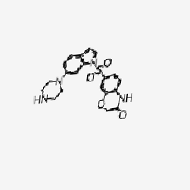 O=C1COc2cc(S(=O)(=O)n3ccc4ccc(N5CCNCC5)cc43)ccc2N1